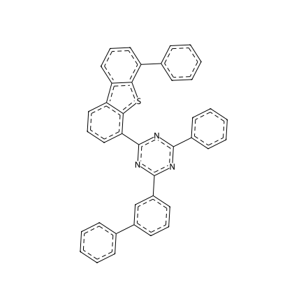 c1ccc(-c2cccc(-c3nc(-c4ccccc4)nc(-c4cccc5c4sc4c(-c6ccccc6)cccc45)n3)c2)cc1